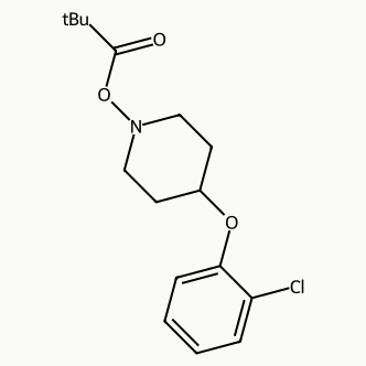 CC(C)(C)C(=O)ON1CCC(Oc2ccccc2Cl)CC1